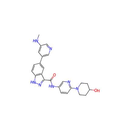 CNc1cncc(-c2ccc3[nH]nc(C(=O)Nc4ccc(N5CCC(O)CC5)nc4)c3c2)c1